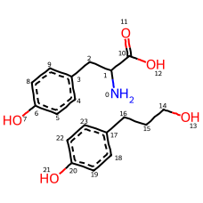 NC(Cc1ccc(O)cc1)C(=O)O.OCCCc1ccc(O)cc1